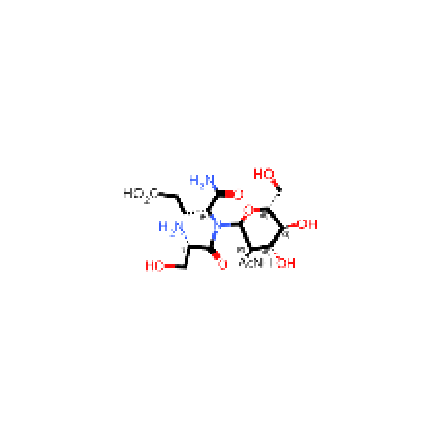 CC(=O)N[C@H]1C(N(C(=O)[C@@H](N)CO)[C@H](CCC(=O)O)C(N)=O)O[C@H](CO)[C@@H](O)[C@@H]1O